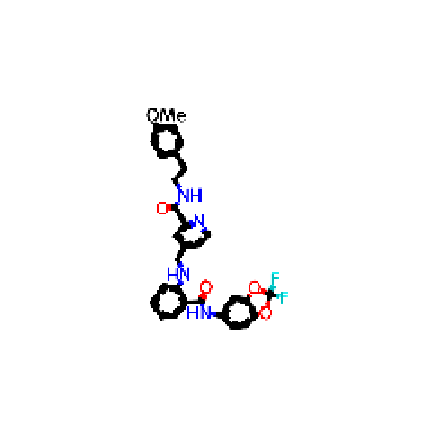 COc1ccc(CCNC(=O)c2cc(CNc3ccccc3C(=O)Nc3ccc4c(c3)OC(F)(F)O4)ccn2)cc1